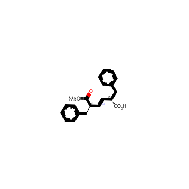 COC(=O)[C@H](/C=C/[C@H](Cc1ccccc1)C(=O)O)Cc1ccccc1